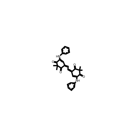 CC1(C)C(=O)C(Nc2ccccc2)=C/C(=C/C=C2/C=C(Nc3ccccc3)C(=O)C(C)(C)C2=O)C1=O